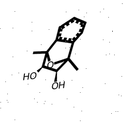 CC12OC(C)(c3ccccc31)[C@@H](O)[C@H]2O